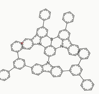 c1ccc(-c2cc(-c3ccccc3)cc(-c3ccc4c5ccc(-c6cc(-c7ccccc7)cc(-c7ccccc7)c6)cc5n(-c5cc6c7c(c5)-n5c8ccccc8c8cc(-c9ccccc9)cc(c85)B7c5cc(-c7ccccc7)cc7c8ccccc8n-6c57)c4c3)c2)cc1